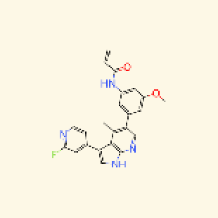 C=CC(=O)Nc1cc(OC)cc(-c2cnc3[nH]cc(-c4ccnc(F)c4)c3c2C)c1